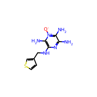 Nc1nc(NCc2ccsc2)c(N)[n+]([O-])c1N